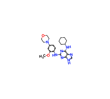 COc1cc(N2CCOCC2)ccc1Nc1nc(NC2CCCCC2)c2nc[nH]c2n1